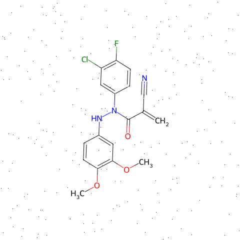 C=C(C#N)C(=O)N(Nc1ccc(OC)c(OC)c1)c1ccc(F)c(Cl)c1